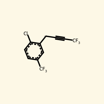 FC(F)(F)C#C[CH]c1cc(C(F)(F)F)ccc1Cl